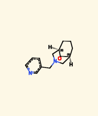 O=C1[C@@H]2CCC[C@H]1CN(Cc1cccnc1)C2